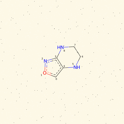 c1onc2c1NCCN2